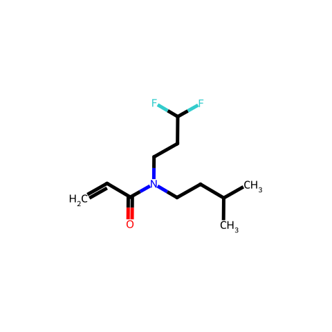 C=CC(=O)N(CCC(C)C)CCC(F)F